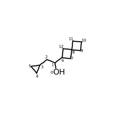 OC(CC1CC1)C1CC2(CCC2)C1